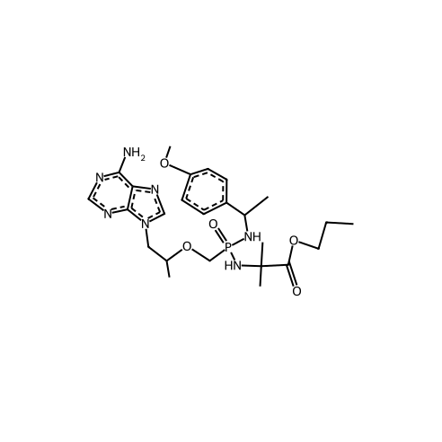 CCCOC(=O)C(C)(C)NP(=O)(COC(C)Cn1cnc2c(N)ncnc21)NC(C)c1ccc(OC)cc1